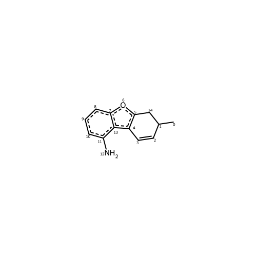 CC1C=Cc2c(oc3cccc(N)c23)C1